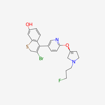 Oc1ccc2c(c1)SCC(Br)=C2c1ccc(O[C@H]2CCN(CCCF)C2)nc1